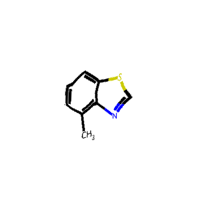 Cc1[c]ccc2scnc12